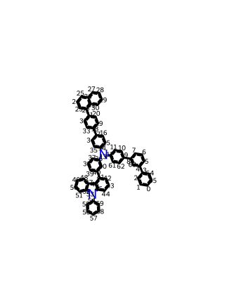 c1ccc(-c2cccc(-c3ccc(N(c4ccc(-c5ccc(-c6cccc7ccccc67)cc5)cc4)c4cccc(-c5cccc6c5c5ccccc5n6-c5ccccc5)c4)cc3)c2)cc1